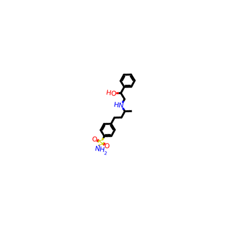 CC(CCc1ccc(S(N)(=O)=O)cc1)NCC(O)c1ccccc1